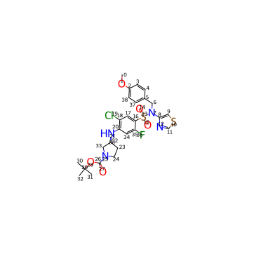 COc1ccc(CN(c2cscn2)S(=O)(=O)c2cc(Cl)c(N[C@H]3CCN(C(=O)OC(C)(C)C)C3)cc2F)cc1